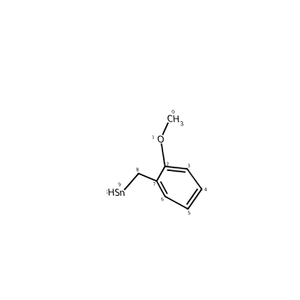 COc1ccccc1[CH2][SnH]